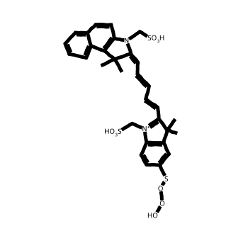 CC1(C)C(C=CC=CC=C2N(CS(=O)(=O)O)c3ccc4ccccc4c3C2(C)C)=[N+](CS(=O)(=O)O)c2ccc(SOOO)cc21